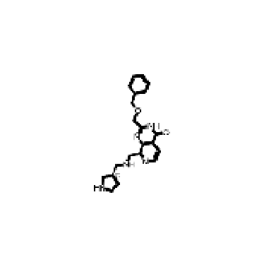 O=c1[nH]c(COCc2ccccc2)nc2c(CNC[C@H]3CCNC3)nccc12